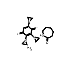 O=C1C=C(N2CC2)C(=O)C(N2CC2)=C1N1CC1.O=C1CCCCCN1.P